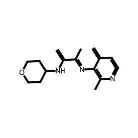 C=C1C=C=NC(C)=C1/N=C(\C)C(=C)NC1CCOCC1